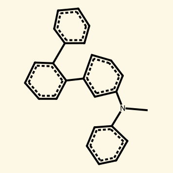 CN(c1ccccc1)c1cccc(-c2ccccc2-c2ccccc2)c1